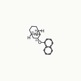 c1ccc2c(O[C@@H]3C[C@H]4CCC[C@@H](C3)N4)cccc2c1